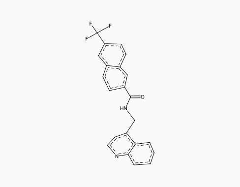 O=C(NCc1ccnc2ccccc12)c1ccc2cc(C(F)(F)F)ccc2c1